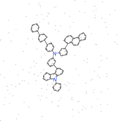 c1ccc(-c2ccc(-c3ccc(N(c4cccc(-c5cccc6c5ccc5ccccc56)c4)c4cccc(-c5cccc6c5c5ccccc5n6-c5ccccc5)c4)cc3)cc2)cc1